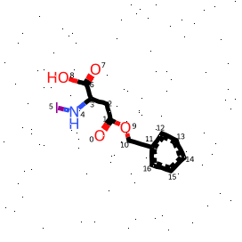 O=C(CC(NI)C(=O)O)OCc1ccccc1